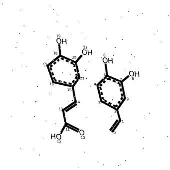 C=Cc1ccc(O)c(O)c1.O=C(O)/C=C/c1ccc(O)c(O)c1